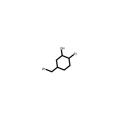 CCC1CCC(CC(C)C)CC1O